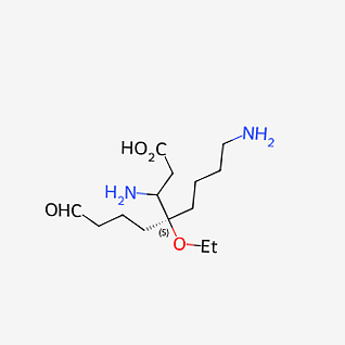 CCO[C@](CCCC=O)(CCCCN)C(N)CC(=O)O